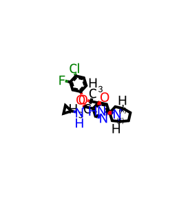 CC(C)(Oc1ccc(Cl)c(F)c1)C(=O)N[C@H]1C[C@H]2CC[C@@H](C1)N2c1ccc(C(=O)NC2CC2)cn1